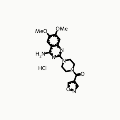 COc1cc2nc(N3CCN(C(=O)c4cnoc4)CC3)nc(N)c2cc1OC.Cl